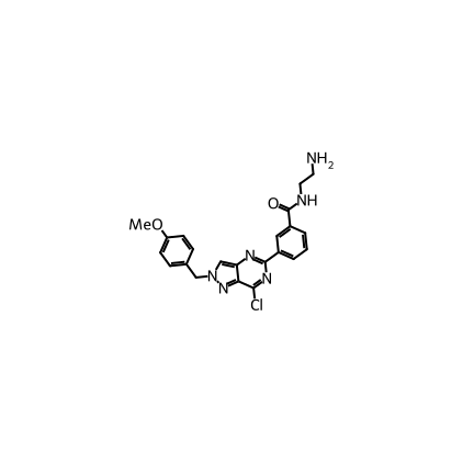 COc1ccc(Cn2cc3nc(-c4cccc(C(=O)NCCN)c4)nc(Cl)c3n2)cc1